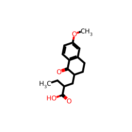 CCC(CC1CCc2cc(OC)ccc2C1=O)C(=O)O